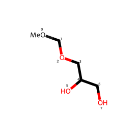 COCOCC(O)CO